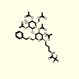 CC(=O)N[C@@H]1[C@@H](OCCCNC(=O)C(F)(F)F)O[C@@H](COCc2ccccc2)[C@H](O[C@H]2O[C@@H](COC(C)=O)[C@@H](OC(C)=O)[C@@H](O)[C@@H]2OC(C)=O)[C@H]1OC(C)=O